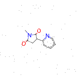 CN1C(=O)CC(c2ccccn2)C1=O